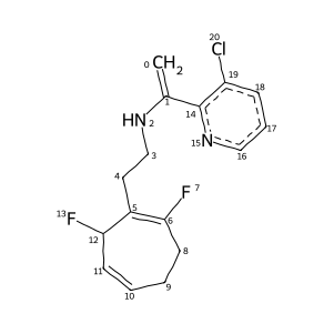 C=C(NCCC1=C(F)CCC=CC1F)c1ncccc1Cl